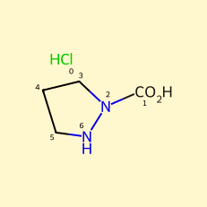 Cl.O=C(O)N1CCCN1